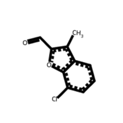 Cc1c(C=O)oc2c(Cl)cccc12